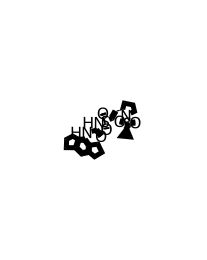 O=C(Nc1c2c(cc3c1CCC3)CCC2)NS(=O)(=O)/C=C/[C@@H]1CCCN1S(=O)(=O)C1CC1